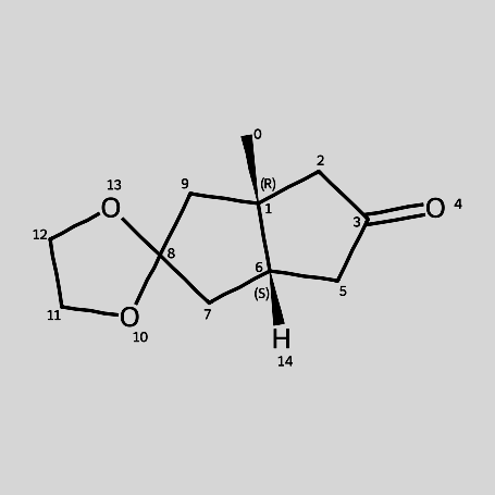 C[C@@]12CC(=O)C[C@@H]1CC1(C2)OCCO1